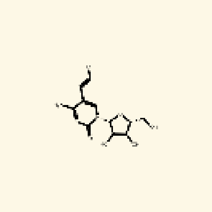 CCC=Cc1cn([C@@H]2O[C@H](CO)C(O)C2O)c(=O)nc1N